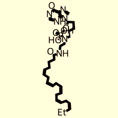 CC/C=C\C/C=C\C/C=C\C/C=C\C/C=C\CCCC(=O)NCCN(C[C@@H]1CC[C@H](n2cnc3c(=O)nc[nH]c32)O1)P(=O)(O)O